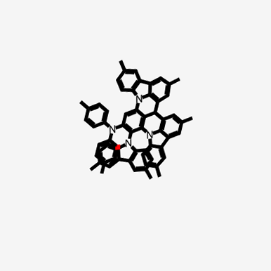 Cc1ccc(N(c2ccc(C)cc2)c2cc3c4c(c2-n2c5ccc(C)cc5c5cc(C)ccc52)-n2c5ccc(C)cc5c5cc(C)cc(c52)C4c2cc(C)cc4c5cc(C)ccc5n-3c24)cc1